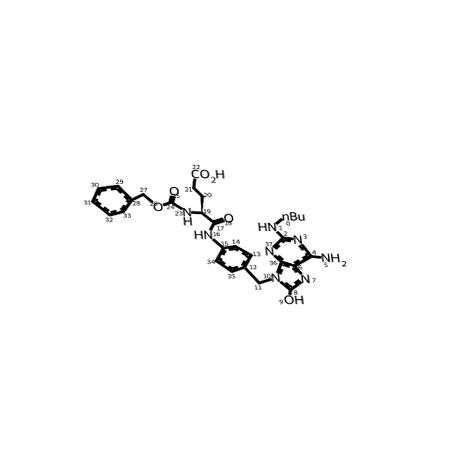 CCCCNc1nc(N)c2nc(O)n(Cc3ccc(NC(=O)[C@H](CCC(=O)O)NC(=O)OCc4ccccc4)cc3)c2n1